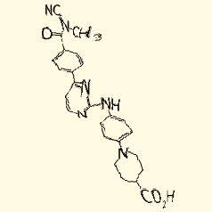 CN(C#N)C(=O)c1ccc(-c2ccnc(Nc3ccc(N4CCC(C(=O)O)CC4)cc3)n2)cc1